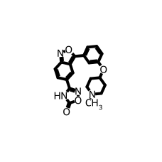 CN1CCC(Oc2cccc(-c3onc4ccc(-c5noc(=O)[nH]5)cc34)c2)CC1